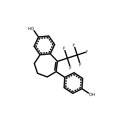 Oc1ccc(C2=C(C(F)(F)C(F)(F)F)c3ccc(O)cc3CCC2)cc1